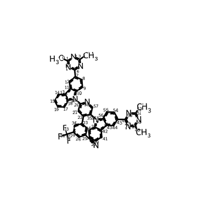 Cc1nc(C)nc(-c2ccc3c(c2)c2ccccc2n3-c2cc(-c3cc(C#N)cc(C(F)(F)F)c3)c(-n3c4ccccc4c4cc(-c5nc(C)nc(C)n5)ccc43)cn2)n1